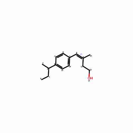 CCC(C)c1ccc(/C=C(/C)CCO)cc1